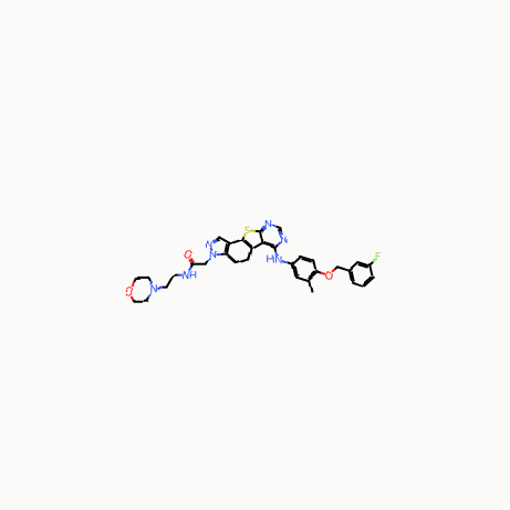 Cc1cc(Nc2ncnc3sc4c(c23)CCc2c-4cnn2CC(=O)NCCN2CCOCC2)ccc1OCc1cccc(F)c1